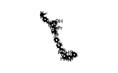 Cc1ncsc1-c1ccc(CNC(=O)[C@@H]2C[C@@H](O)CN2C(=O)C(c2cc(OC[C@H]3CC[C@@H](N4CCC(c5cnc(N6CCc7[nH]c8nnc(-c9ccccc9O)cc8c7[C@@H]6C)nc5)CC4)CC3)no2)C(C)C)cc1